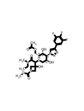 CCN(C)C(=O)C([SH]1C[C@H](O)[C@H](n2cc(-c3cc(F)c(F)c(F)c3)nn2)[C@@H](O)[C@H]1COC(C)=O)C1(O)CN(C(=O)OC)C1